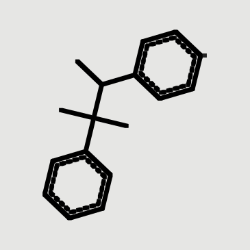 CC(c1cc[c]cc1)C(C)(C)c1ccccc1